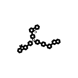 CC1(C)c2ccccc2-c2ccc(-c3ccc(N(c4ccc(-c5ccc(-c6cccc(-c7ccc8ccccc8c7)c6)cc5)cc4)c4ccc(-c5cccc6c5sc5ccccc56)cc4)cc3)cc21